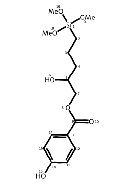 CO[Si](CCCC(O)COC(=O)c1ccc(O)cc1)(OC)OC